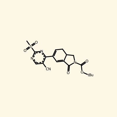 CC(C)(C)OC(=O)N1CC2CC=C(c3nc(S(C)(=O)=O)ncc3C#N)C=C2C1=O